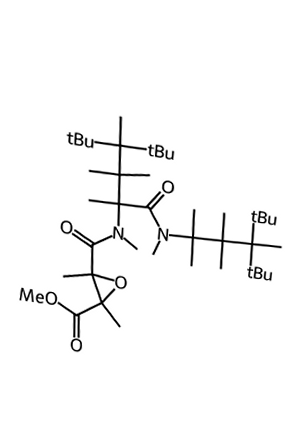 COC(=O)C1(C)OC1(C)C(=O)N(C)C(C)(C(=O)N(C)C(C)(C)C(C)(C)C(C)(C(C)(C)C)C(C)(C)C)C(C)(C)C(C)(C(C)(C)C)C(C)(C)C